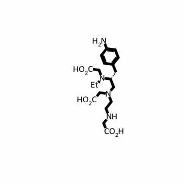 CCN(CC(=O)O)[C@H](Cc1ccc(N)cc1)CN(CCNCC(=O)O)CC(=O)O